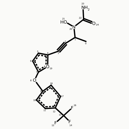 CC(C#Cc1ccc(Oc2ccc(C(F)(F)F)cc2)o1)N(O)C(N)=O